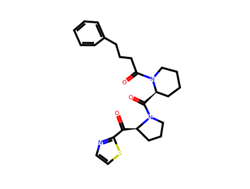 O=C(c1nccs1)[C@@H]1CCCN1C(=O)[C@@H]1CCCCN1C(=O)CCCc1ccccc1